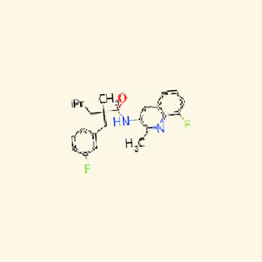 Cc1nc2c(F)cccc2cc1NC(=O)C(C)(Cc1cccc(F)c1)CC(C)C